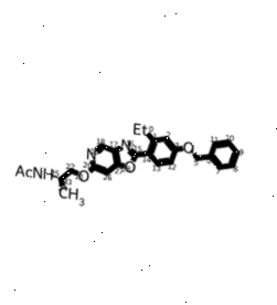 CCc1cc(OCc2ccccc2)ccc1-c1nc2cnc(OC[C@H](C)NC(C)=O)cc2o1